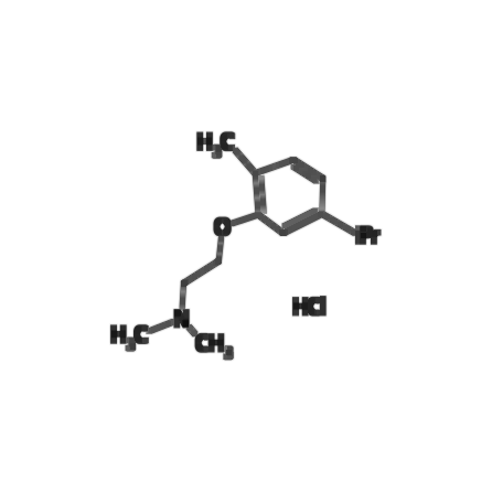 Cc1ccc(C(C)C)cc1OCCN(C)C.Cl